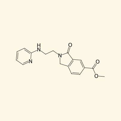 COC(=O)c1ccc2c(c1)C(=O)N(CCNc1ccccn1)C2